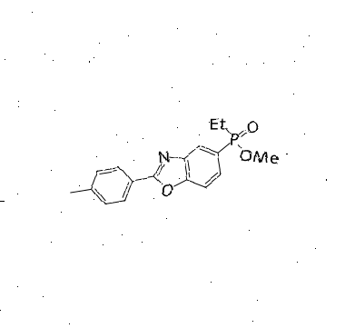 CCP(=O)(OC)c1ccc2oc(-c3ccc(C)cc3)nc2c1